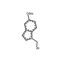 COc1ccc2c(ccn2CC(C)C)c1